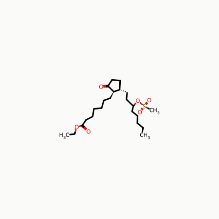 CCCCCC(CC[C@H]1CCC(=O)[C@@H]1CCCCCCC(=O)OCC)OS(C)(=O)=O